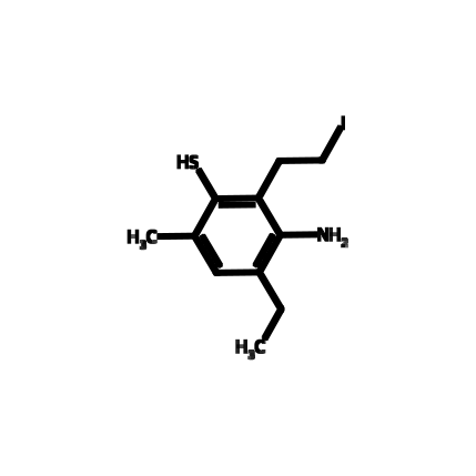 CCc1cc(C)c(S)c(CCI)c1N